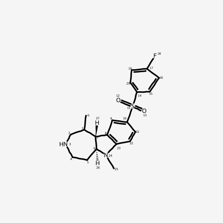 CC1CNCC[C@H]2[C@H]1c1cc(S(=O)(=O)c3ccc(F)cc3)ccc1N2C